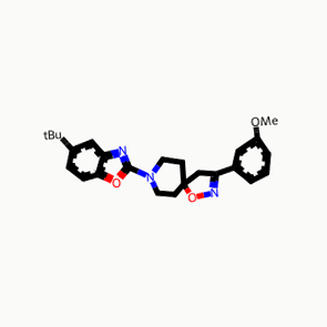 COc1cccc(C2=NOC3(CCN(c4nc5cc(C(C)(C)C)ccc5o4)CC3)C2)c1